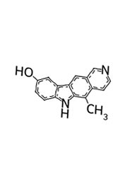 Cc1c2ccncc2cc2c1[nH]c1ccc(O)cc12